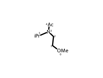 COCCN(C(C)=O)C(C)C